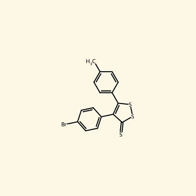 Cc1ccc(-c2ssc(=S)c2-c2ccc(Br)cc2)cc1